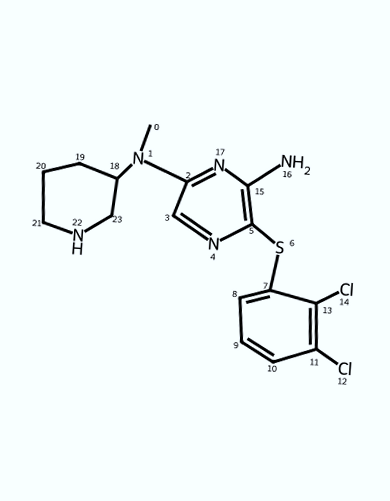 CN(c1cnc(Sc2cccc(Cl)c2Cl)c(N)n1)C1CCCNC1